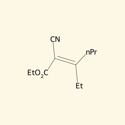 CCC/C(CC)=C(\C#N)C(=O)OCC